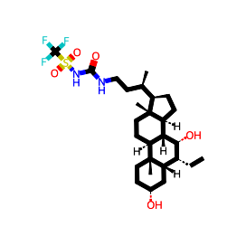 CC[C@H]1[C@@H](O)[C@@H]2[C@H](CC[C@]3(C)[C@@H]([C@H](C)CCNC(=O)NS(=O)(=O)C(F)(F)F)CC[C@@H]23)[C@@]2(C)CC[C@@H](O)C[C@@H]12